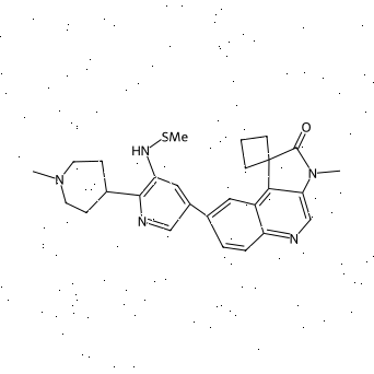 CSNc1cc(-c2ccc3ncc4c(c3c2)C2(CCC2)C(=O)N4C)cnc1C1CCN(C)CC1